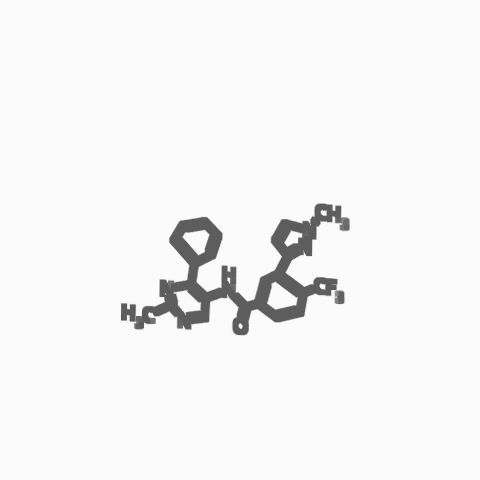 Cc1ncc(NC(=O)c2ccc(C(F)(F)F)c(-c3ccn(C)n3)c2)c(-c2ccccc2)n1